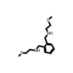 CSCCNCc1ccccc1CNCCSC